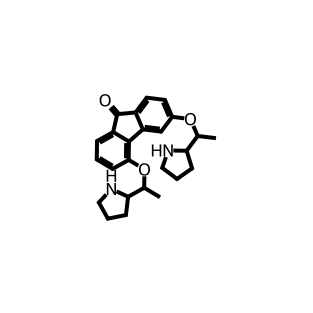 CC(Oc1ccc2c(c1)-c1c(OC(C)C3CCCN3)cccc1C2=O)C1CCCN1